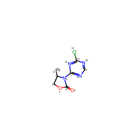 CC(C)C1COC(=O)N1c1ncnc(Cl)n1